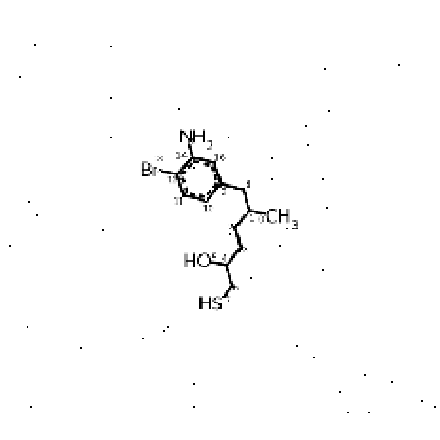 CC(CCC(O)CS)Cc1ccc(Br)c(N)c1